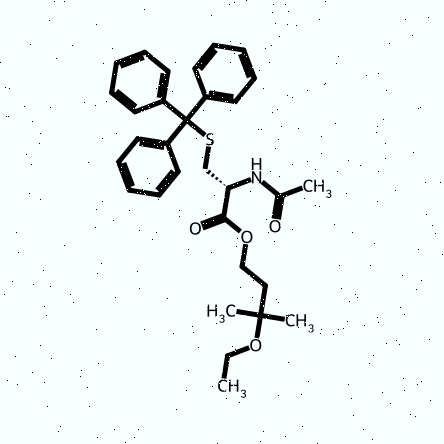 CCOC(C)(C)CCOC(=O)[C@H](CSC(c1ccccc1)(c1ccccc1)c1ccccc1)NC(C)=O